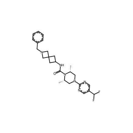 C[C@@H]1CN(c2ncc(C(F)F)cn2)C[C@H](C)N1C(=O)NC1CC2(C1)CN(Cc1ccccc1)C2